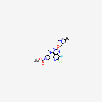 CN1CC2(CC2)C[C@H]1COc1nc(N(C)[C@@H]2CCN(C(=O)OC(C)(C)C)C2)c2cnc(Cl)c(F)c2n1